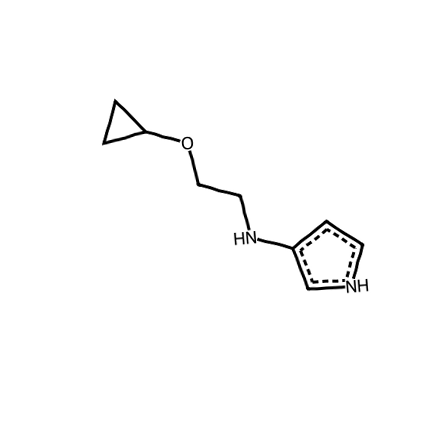 c1cc(NCCOC2CC2)c[nH]1